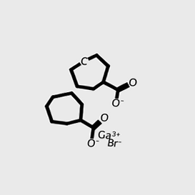 O=C([O-])C1CCCCCC1.O=C([O-])C1CCCCCC1.[Br-].[Ga+3]